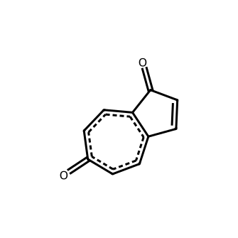 O=C1C=Cc2ccc(=O)ccc21